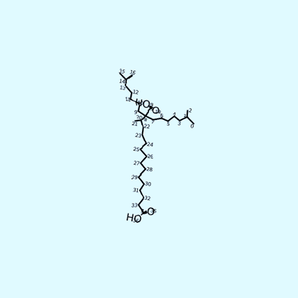 CC(C)CCCCCC(CCCCCC(C)C)(C(=O)O)C(C)CCCCCCCCCCCCC(=O)O